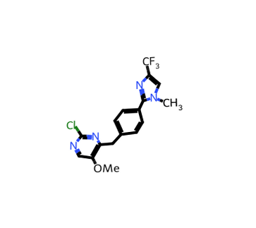 COc1cnc(Cl)nc1Cc1ccc(-c2nc(C(F)(F)F)cn2C)cc1